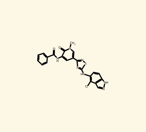 Cn1cc(-c2nsc(Nc3ccc4[nH]ncc4c3Cl)n2)cc(NC(=O)c2ccccc2)c1=O